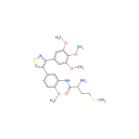 COc1ccc(-c2csnc2-c2cc(OC)c(OC)c(OC)c2)cc1NC(=O)C(N)CCSC